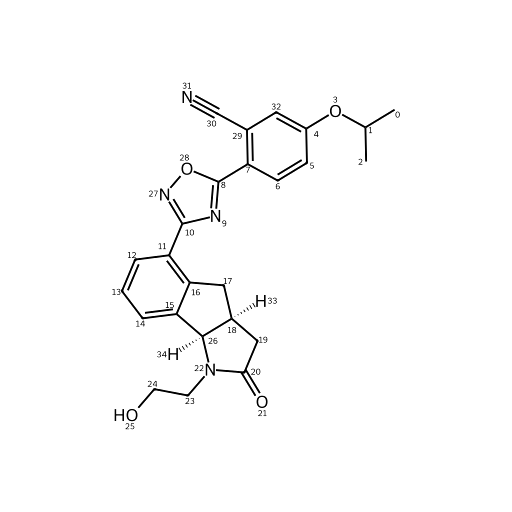 CC(C)Oc1ccc(-c2nc(-c3cccc4c3C[C@H]3CC(=O)N(CCO)[C@@H]43)no2)c(C#N)c1